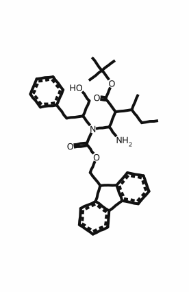 CCC(C)C(C(=O)OC(C)(C)C)C(N)N(C(=O)OCC1c2ccccc2-c2ccccc21)C(CO)Cc1ccccc1